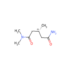 C[C@@H]([CH]C(=O)N(C)C)CC(N)=O